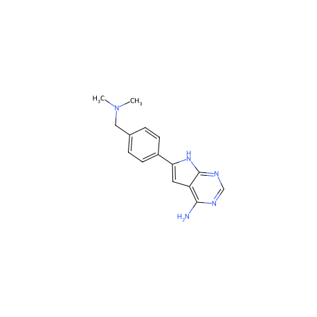 CN(C)Cc1ccc(-c2cc3c(N)ncnc3[nH]2)cc1